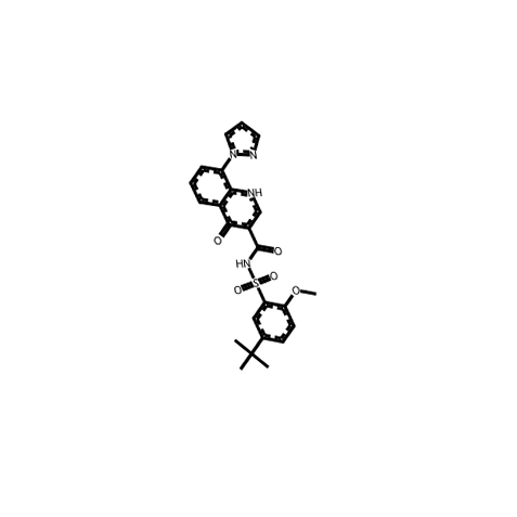 COc1ccc(C(C)(C)C)cc1S(=O)(=O)NC(=O)c1c[nH]c2c(-n3cccn3)cccc2c1=O